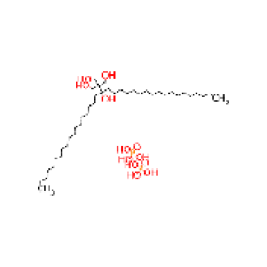 CCCCCCCCCCCCCCCCCCC(O)(CCCCCCCCCCCCCCCCCC)C(CO)(CO)CO.O=P(O)(O)O.O=P(O)(O)O